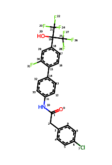 O=C(Cc1ccc(Cl)cc1)Nc1ccc(-c2ccc(C(O)(C(F)(F)F)C(F)(F)F)cc2F)cc1